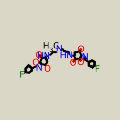 CN(CCCNC1=CC(=O)c2nc(-c3ccc(F)cc3)oc2C1=O)CCCNC1=CC(=O)c2nc(-c3ccc(F)cc3)oc2C1=O